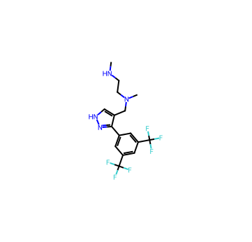 CNCCN(C)Cc1c[nH]nc1-c1cc(C(F)(F)F)cc(C(F)(F)F)c1